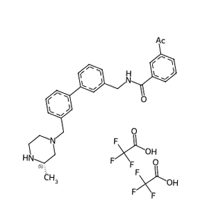 CC(=O)c1cccc(C(=O)NCc2cccc(-c3cccc(CN4CCN[C@@H](C)C4)c3)c2)c1.O=C(O)C(F)(F)F.O=C(O)C(F)(F)F